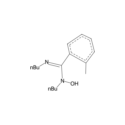 CCCCN=C(c1ccccc1C)N(O)CCCC